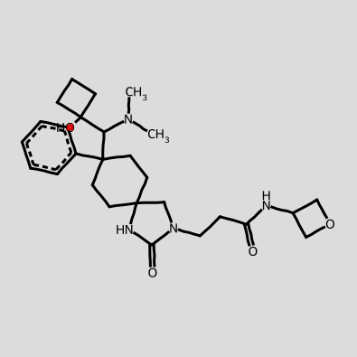 CN(C)C(C1(O)CCC1)C1(c2ccccc2)CCC2(CC1)CN(CCC(=O)NC1COC1)C(=O)N2